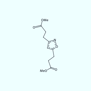 COC(=O)CCc1cc(CCC(=O)OC)on1